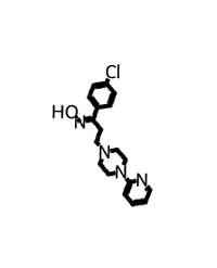 ON=C(CCN1CCN(c2ccccn2)CC1)c1ccc(Cl)cc1